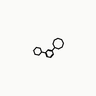 [CH]1CCC(c2cccc(C3[CH]CCCCCC3)c2)CC1